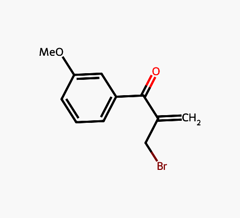 C=C(CBr)C(=O)c1cccc(OC)c1